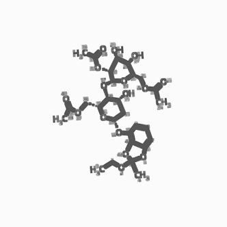 CCOC1(C)Oc2cccc(O[C@H]3C[C@@H](O)[C@H](O[C@@H]4O[C@H](COC(C)=O)[C@H](O)[C@H](O)[C@H]4OC(C)=O)[C@@H](COC(C)=O)O3)c2O1